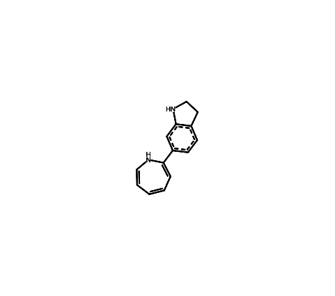 C1=CC=C(c2ccc3c(c2)NCC3)NC=C1